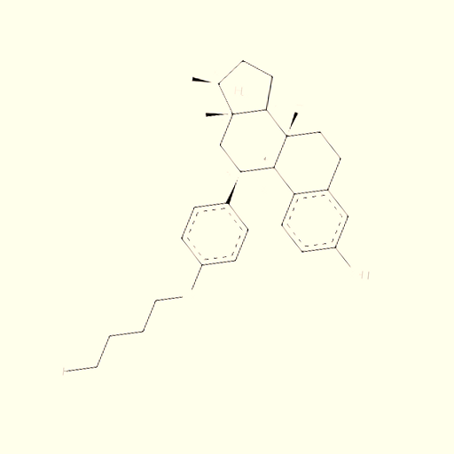 C[C@]12C[C@H](c3ccc(OCCCCI)cc3)[C@@H]3c4ccc(O)cc4CC[C@H]3[C@@H]1CC[C@@H]2O